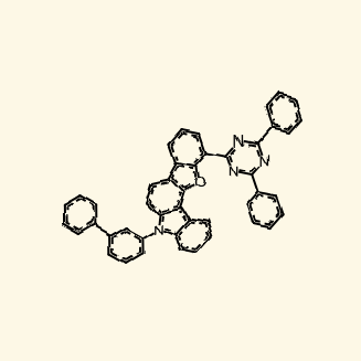 c1ccc(-c2cccc(-n3c4ccccc4c4c5oc6c(-c7nc(-c8ccccc8)nc(-c8ccccc8)n7)cccc6c5ccc43)c2)cc1